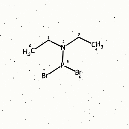 CCN(CC)P(Br)Br